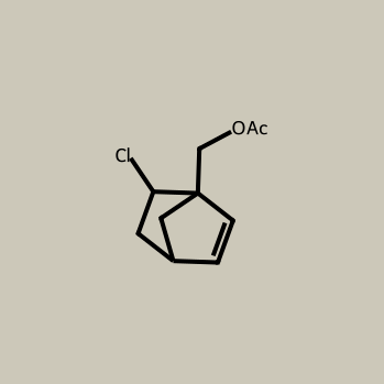 CC(=O)OCC12C=CC(CC1Cl)C2